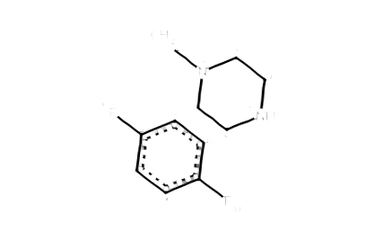 C.CN1CCNCC1.Fc1ccc(F)cc1